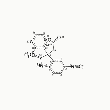 [C-]#[N+]c1ccc2c(c1)C(CC(=O)O)(c1cccnc1C)C(=O)N2